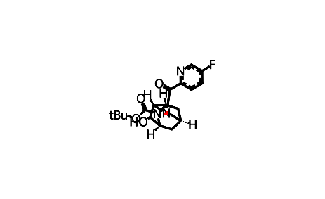 CC(C)(C)OC(=O)N1[C@@H]2C[C@@H]3C[C@H]1[C@@H](C2O)N(C(=O)c1ccc(F)cn1)C3